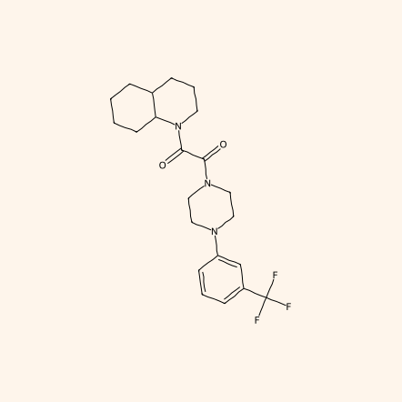 O=C(C(=O)N1CCCC2CCCCC21)N1CCN(c2cccc(C(F)(F)F)c2)CC1